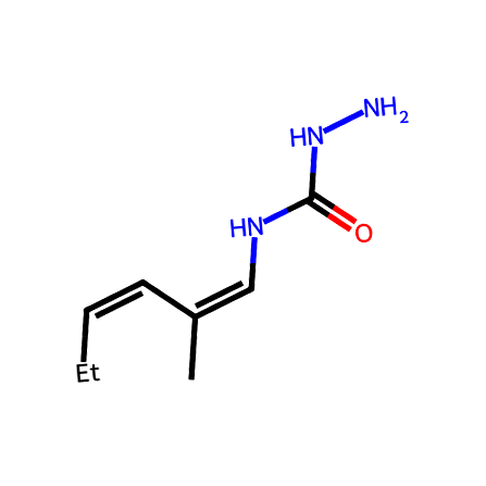 CC/C=C\C(C)=C/NC(=O)NN